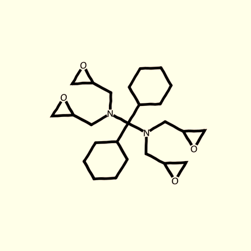 C1CCC(C(C2CCCCC2)(N(CC2CO2)CC2CO2)N(CC2CO2)CC2CO2)CC1